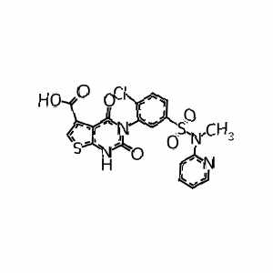 CN(c1ccccn1)S(=O)(=O)c1ccc(Cl)c(-n2c(=O)[nH]c3scc(C(=O)O)c3c2=O)c1